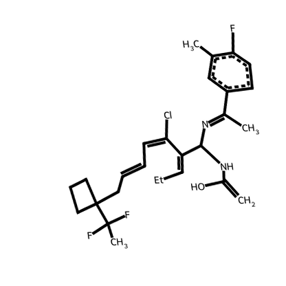 C=C(O)NC(/N=C(\C)c1ccc(F)c(C)c1)C(=C/CC)/C(Cl)=C\C=C\CC1(C(C)(F)F)CCC1